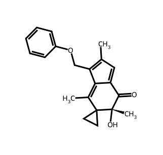 CC1=C(COc2ccccc2)C2=C(C)C3(CC3)[C@@](C)(O)C(=O)C2=C1